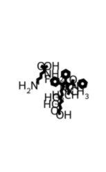 CC(C)c1c(C(=O)Nc2ccccc2)c(-c2ccccc2)c(-c2ccc(F)cc2)n1CC[C@@H](O)C[C@@H](O)CC(=O)O.NCCCC[C@@H](N)C(=O)O